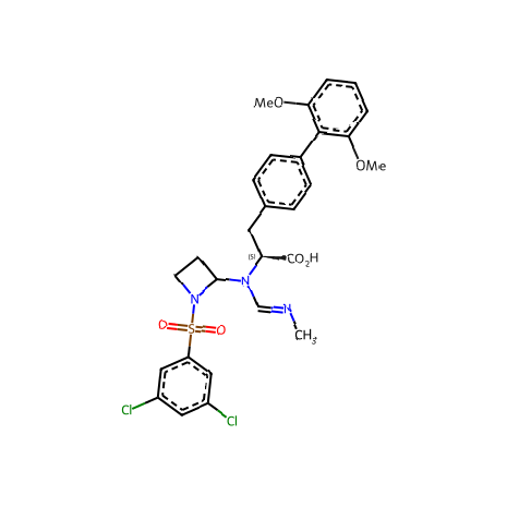 CN=CN(C1CCN1S(=O)(=O)c1cc(Cl)cc(Cl)c1)[C@@H](Cc1ccc(-c2c(OC)cccc2OC)cc1)C(=O)O